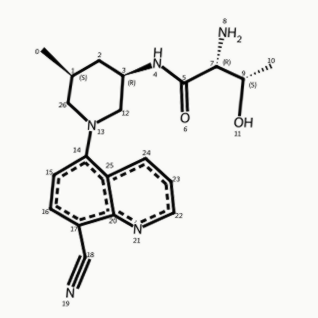 C[C@H]1C[C@@H](NC(=O)[C@H](N)[C@H](C)O)CN(c2ccc(C#N)c3ncccc23)C1